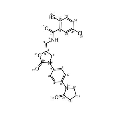 O=C(NC[C@H]1CN(c2ccc(N3CCCC3=O)cc2)C(=O)O1)c1cc(Cl)ccc1S